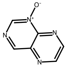 [O-][n+]1cncc2nccnc21